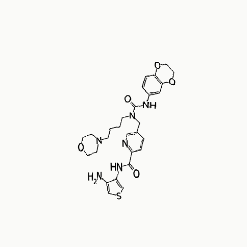 Nc1cscc1NC(=O)c1ccc(CN(CCCCN2CCOCC2)C(=O)Nc2ccc3c(c2)OCCO3)cn1